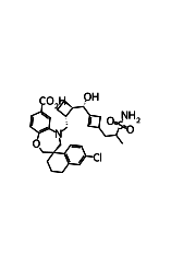 CC(CC1C=C([C@@H](O)[C@@H]2CC[C@H]2CN2C[C@@]3(CCCc4cc(Cl)ccc43)COc3ccc(C(=O)O)cc32)C1)S(N)(=O)=O